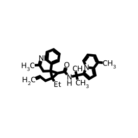 C=CCC1(CC)C(C(=O)NC(C)(C)c2ccc3c(C)cccn23)C1(CC(C)=N)c1ccccc1